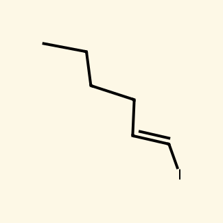 CCCCC=CI